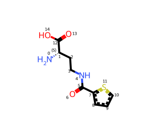 N[C@@H](CCNC(=O)c1cccs1)C(=O)O